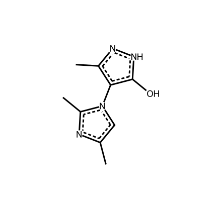 Cc1cn(-c2c(C)n[nH]c2O)c(C)n1